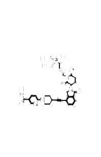 C[Si](C)(C)CCOCN1C(=O)CCC(N2Cc3c(C#CC4CCN(c5ccc(C(N)=O)cn5)CC4)cccc3C2=O)C1=O